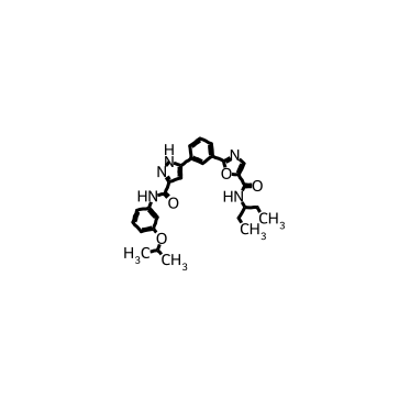 CCC(CC)NC(=O)c1cnc(-c2cccc(-c3cc(C(=O)Nc4cccc(OC(C)C)c4)n[nH]3)c2)o1